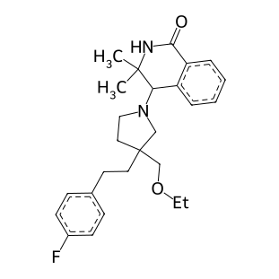 CCOCC1(CCc2ccc(F)cc2)CCN(C2c3ccccc3C(=O)NC2(C)C)C1